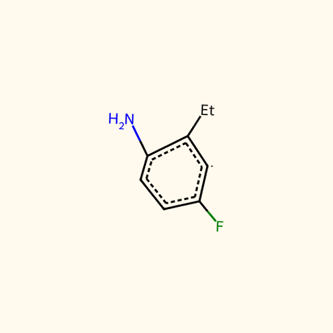 CCc1[c]c(F)ccc1N